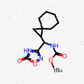 CC(C)(C)OC(=O)NC(c1noc(=O)[nH]1)C1CC12CCCCC2